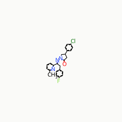 Cc1cccc(/C(Cc2ccc(F)cc2)=N/N2CC(c3ccc(Cl)cc3)CC2=O)n1